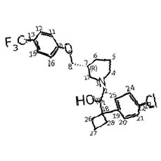 O[C@@H](CN1CCC[C@@H](COc2ccc(C(F)(F)F)cc2)C1)C1(c2ccc(Cl)cc2)CCC1